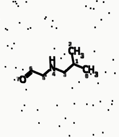 CC(C)CN[CH]C=O